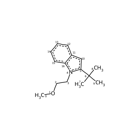 COCCn1c(C(C)(C)C)cc2ccccc21